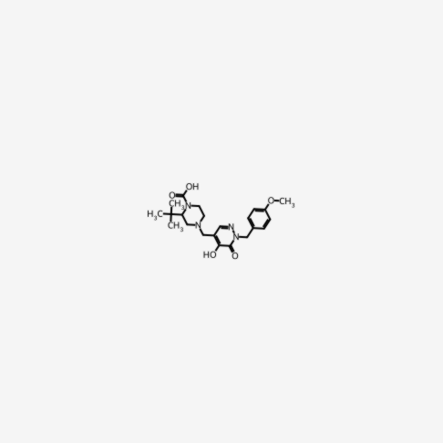 COc1ccc(Cn2ncc(CN3CCN(C(=O)O)C(C(C)(C)C)C3)c(O)c2=O)cc1